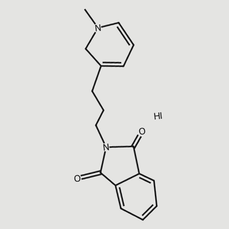 CN1C=CC=C(CCCN2C(=O)c3ccccc3C2=O)C1.I